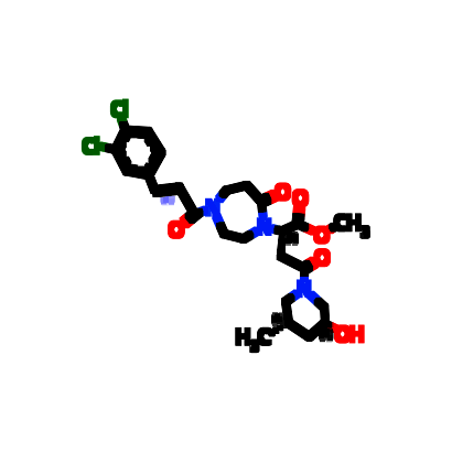 COC(=O)[C@@H](CC(=O)N1C[C@@H](C)C[C@H](O)C1)N1CCN(C(=O)/C=C/c2ccc(Cl)c(Cl)c2)CCC1=O